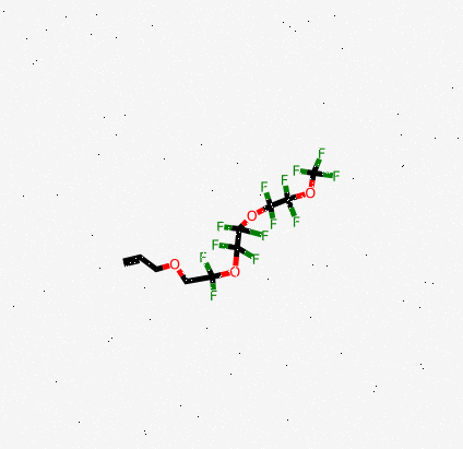 C=CCOCC(F)(F)OC(F)(F)C(F)(F)OC(F)(F)C(F)(F)OC(F)(F)F